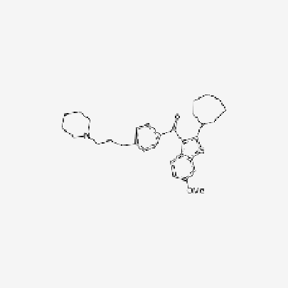 COc1ccc2c(C(=O)c3ccc(CCCN4CCCCC4)cc3)c(C3CCCCCC3)sc2c1